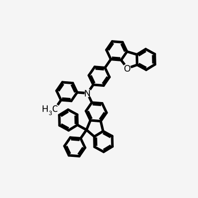 Cc1cccc(N(c2ccc(-c3cccc4c3oc3ccccc34)cc2)c2ccc3c(c2)C(c2ccccc2)(c2ccccc2)c2ccccc2-3)c1